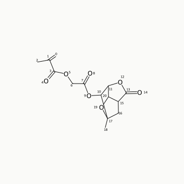 C=C(C)C(=O)OCC(=O)OC1C2OC(=O)C3CC1(C)OC32